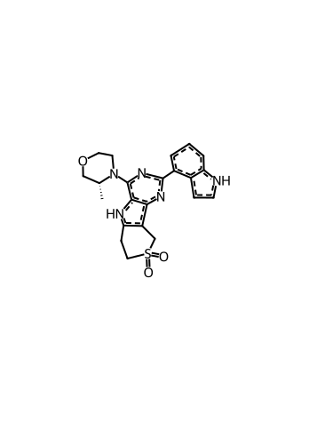 C[C@@H]1COCCN1c1nc(-c2cccc3[nH]ccc23)nc2c3c([nH]c12)CCS(=O)(=O)C3